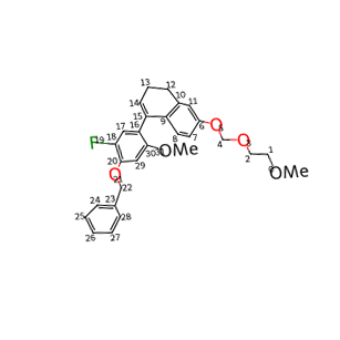 COCCOCOc1ccc2c(c1)CCC=C2c1cc(F)c(OCc2ccccc2)cc1OC